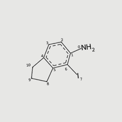 Nc1ccc2c(c1I)CCC2